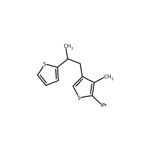 Cc1c(CC(C)c2cccs2)csc1C(C)C